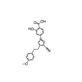 COc1ccc(CCc2cn(-c3ccc(C(=O)O)c(O)c3)cc2C#N)cc1